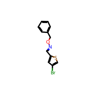 Brc1csc(/C=N/OCc2ccccc2)c1